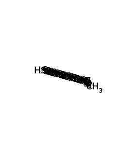 CCOS(=S)(=S)SSSSSSSSSSSSSSSSSSSSSSSSSSSSSS